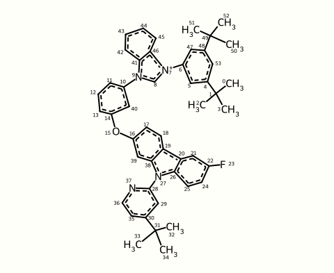 CC(C)(C)c1cc(-[n+]2cn(-c3cccc(Oc4ccc5c6cc(F)ccc6n(-c6cc(C(C)(C)C)ccn6)c5c4)c3)c3ccccc32)cc(C(C)(C)C)c1